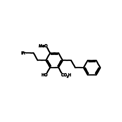 COc1cc(CCc2ccccc2)c(C(=O)O)c(O)c1CCC(C)C